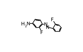 Nc1ccc(N=Nc2ccccc2F)c(F)c1